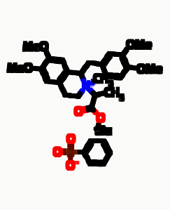 COc1ccc(CC2c3cc(OC)c(OC)cc3CC[N+]2(C)C(C)C(=O)OC(C)(C)C)cc1OC.O=S(=O)([O-])c1ccccc1